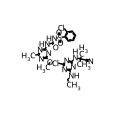 CCNc1nc(Cl)nc(NC(C)(C)C#N)n1.COc1nc(C)nc(NC(=O)NS(=O)(=O)c2ccccc2Cl)n1